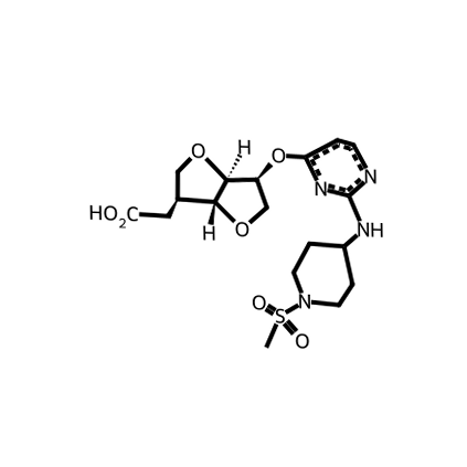 CS(=O)(=O)N1CCC(Nc2nccc(O[C@H]3CO[C@@H]4[C@@H](CC(=O)O)CO[C@H]43)n2)CC1